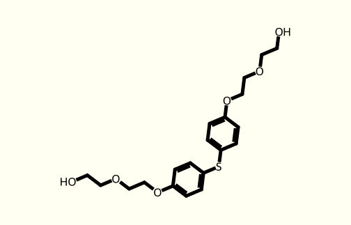 OCCOCCOc1ccc(Sc2ccc(OCCOCCO)cc2)cc1